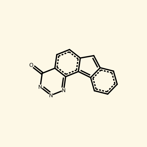 O=C1N=NN=c2c1ccc1c2=c2ccccc2=C1